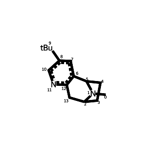 CN1C2CCC1c1cc(C(C)(C)C)cnc1C2